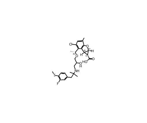 CSc1ccc(CC(C)(C)NCC(O)CO[C@H](C)c2c(Cl)cc(C)c3c2[C@@H]2[C@H](O3)[C@H]2C(=O)O)cc1F